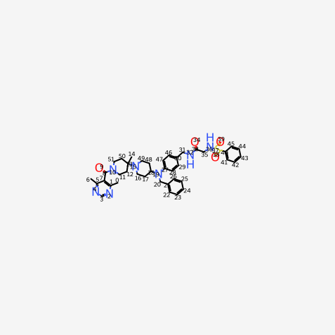 Cc1ncnc(C)c1C(=O)N1CCC(C)(N2CCC(N(Cc3ccccc3)c3ccc(CNC(=O)CNS(=O)(=O)c4ccccc4)cc3)CC2)CC1